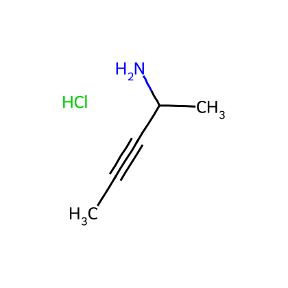 CC#CC(C)N.Cl